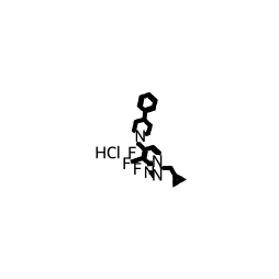 Cl.FC(F)(F)c1c(CN2CCC(c3ccccc3)CC2)ccn2c(CC3CC3)nnc12